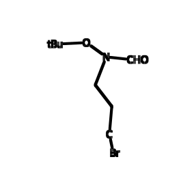 CC(C)(C)ON(C=O)CCCBr